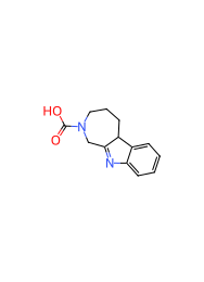 O=C(O)N1CCCC2C(=Nc3ccccc32)C1